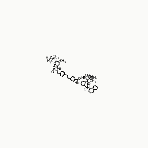 CNC(C(=O)N1C[C@@H](NC(=O)c2ccc(/C=C/c3ccc(CC(NC(=O)CN(C)C(=O)OC(C)(C)C)C(=O)O)cc3)cc2)CC1C(=O)NC1CCCc2ccccc21)C(C)(C)C